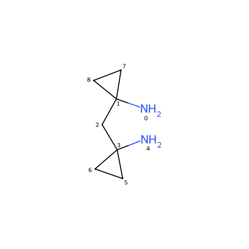 NC1(CC2(N)CC2)CC1